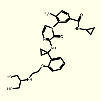 Cc1ccc(C(=O)NC2CC2)cc1-n1ccnc(NC2(c3ccccc3OCCNC(CO)CO)CC2)c1=O